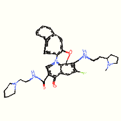 CN1CCCC1CCNc1c(F)cc2c(=O)c(C(=O)NCCN3CCCC3)cn3c2c1Oc1cc2ccccc2cc1-3